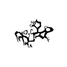 O=C(O)c1c(-c2ccc[nH]c2=O)c2c3occc3c(F)cc2n1Cc1cc2cccnc2nc1Cl